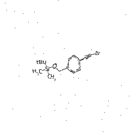 CC(C)(C)[Si](C)(C)OCc1ccc(C#CBr)cc1